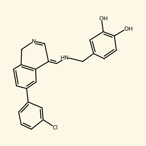 Oc1ccc(CNC=C2C=NCc3ccc(-c4cccc(Cl)c4)cc32)cc1O